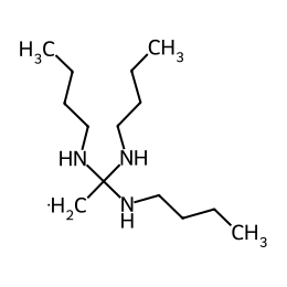 [CH2]C(NCCCC)(NCCCC)NCCCC